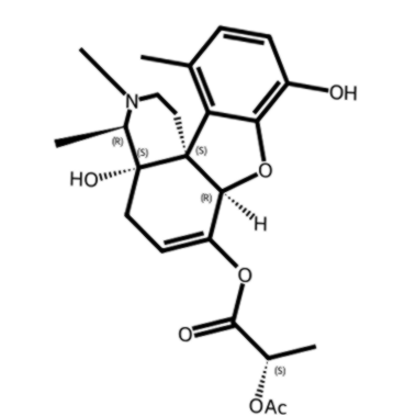 CC(=O)O[C@@H](C)C(=O)OC1=CC[C@@]2(O)[C@@H](C)N(C)CC[C@@]23c2c(C)ccc(O)c2O[C@@H]13